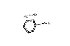 Nc1ccccc1.[Mg+2][Br]